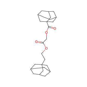 O=C(COC(=O)C12CC3CC(CC(C3)C1)C2)OCCC12CC3CC(CC(C3)C1)C2